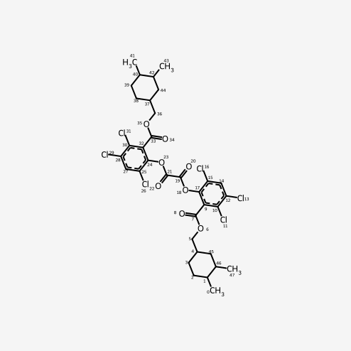 CC1CCC(COC(=O)c2c(Cl)c(Cl)cc(Cl)c2OC(=O)C(=O)Oc2c(Cl)cc(Cl)c(Cl)c2C(=O)OCC2CCC(C)C(C)C2)CC1C